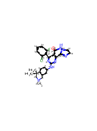 CN1Cc2cc(Nc3nc(-c4c(F)cccc4Cl)c4c(=O)[nH]n5ccnc5c4n3)ccc2C(C)(C)C1